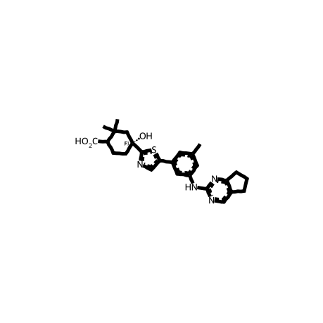 Cc1cc(Nc2ncc3c(n2)CCC3)cc(-c2cnc([C@@]3(O)CCC(C(=O)O)C(C)(C)C3)s2)c1